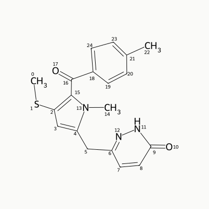 CSc1cc(Cc2ccc(=O)[nH]n2)n(C)c1C(=O)c1ccc(C)cc1